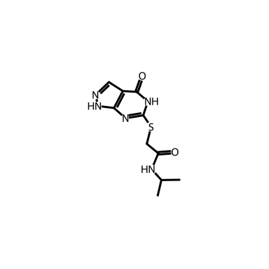 CC(C)NC(=O)CSc1nc2[nH]ncc2c(=O)[nH]1